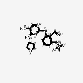 CS(=O)(=O)Nc1cccc(Nc2ncc(C(F)(F)F)c(N[C@@H]3CCOC3)n2)c1C=N